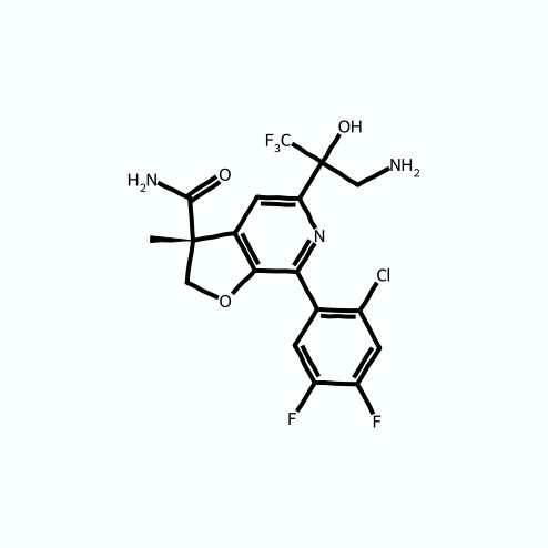 C[C@]1(C(N)=O)COc2c1cc(C(O)(CN)C(F)(F)F)nc2-c1cc(F)c(F)cc1Cl